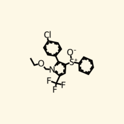 CCOCn1c(C(F)(F)F)cc([S+]([O-])c2ccccc2)c1-c1ccc(Cl)cc1